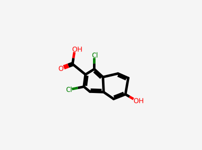 O=C(O)c1c(Cl)cc2cc(O)ccc2c1Cl